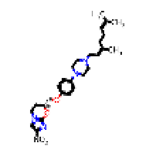 CC(C)=CCCC(C)=CCN1CCN(c2ccc(OC[C@H]3CCn4cc([N+](=O)[O-])nc4O3)cc2)CC1